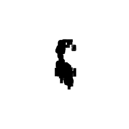 CC(SC1CCN(C(=O)C=CC=Cc2ccc(OC(F)(F)F)cc2)CC1)C(O)(Cn1cncn1)c1ccc(F)cc1F